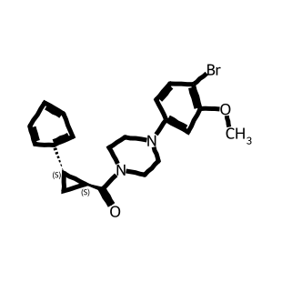 COc1cc(N2CCN(C(=O)[C@H]3C[C@@H]3c3ccccc3)CC2)ccc1Br